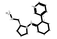 COC[C@@H]1CCCN1N=C1CCCCC1c1cccnc1